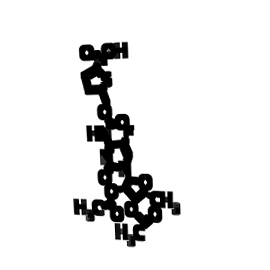 CC(=O)O[C@@H]1[C@H](OC(C)=O)[C@@H](C)O[C@H]1n1cc(F)c(NC(=O)OCc2ccc([N+](=O)O)s2)nc1=O